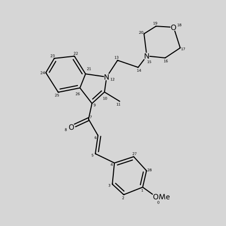 COc1ccc(C=CC(=O)c2c(C)n(CCN3CCOCC3)c3ccccc23)cc1